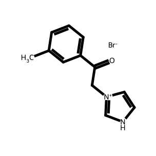 Cc1cccc(C(=O)C[n+]2cc[nH]c2)c1.[Br-]